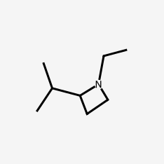 CCN1CCC1C(C)C